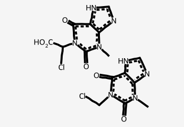 Cn1c(=O)n(C(Cl)C(=O)O)c(=O)c2[nH]cnc21.Cn1c(=O)n(CCl)c(=O)c2[nH]cnc21